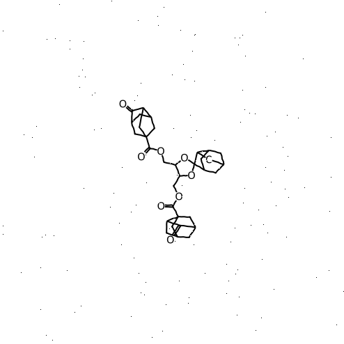 O=C1C2CC3CC(C(=O)OCC4OC5(OC4COC(=O)C46CC7CC(C4)C(=O)C6C7)C4CC6CC(C4)C5C6)(C2)CC13